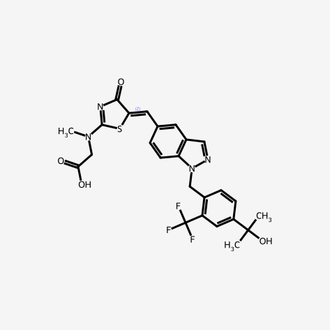 CN(CC(=O)O)C1=NC(=O)/C(=C/c2ccc3c(cnn3Cc3ccc(C(C)(C)O)cc3C(F)(F)F)c2)S1